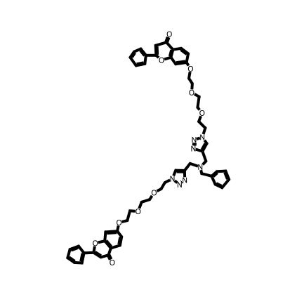 O=c1cc(-c2ccccc2)oc2cc(OCCOCCOCCn3cc(CN(Cc4ccccc4)Cc4cn(CCOCCOCCOc5ccc6c(=O)cc(-c7ccccc7)oc6c5)nn4)nn3)ccc12